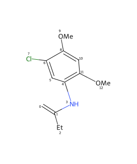 C=C(CC)Nc1cc(Cl)c(OC)cc1OC